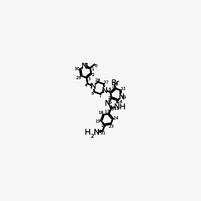 Cc1cc(CN2CCN(c3c(Br)cnc4[nH]c(-c5ccc(CN)cc5)nc34)CC2)ccn1